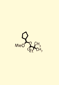 CCC(C)(C)C(=O)OC(OC)C1CCCC1